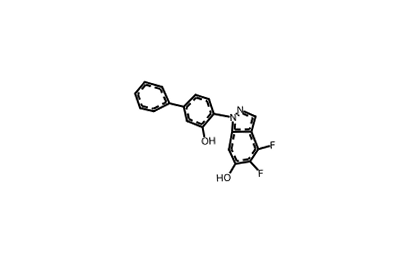 Oc1cc(-c2ccccc2)ccc1-n1ncc2c(F)c(F)c(O)cc21